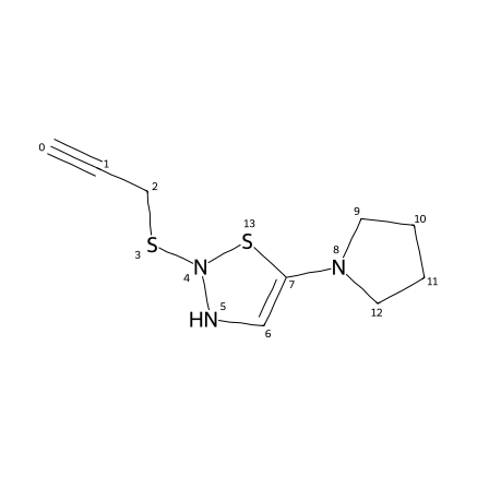 C#CCSN1NC=C(N2CCCC2)S1